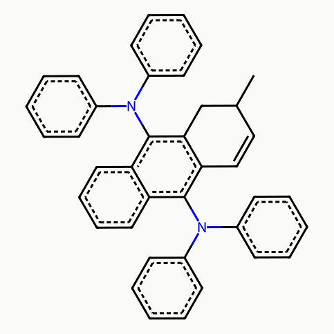 CC1C=Cc2c(c(N(c3ccccc3)c3ccccc3)c3ccccc3c2N(c2ccccc2)c2ccccc2)C1